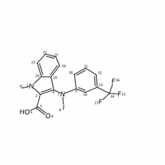 Cn1c(C(=O)O)c(N(I)c2cccc(C(F)(F)F)c2)c2ccccc21